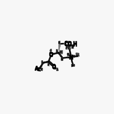 CC(=O)CC(=O)O[C@H](CC(=O)O)C[N+](C)(C)C